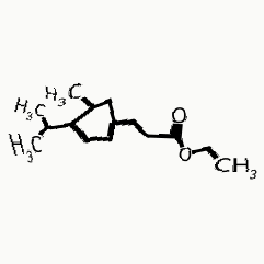 CCOC(=O)CCC1=CCC(C(C)C)C(C)C1